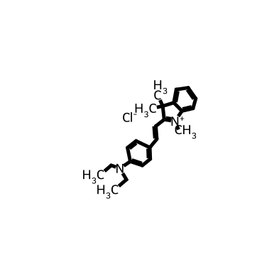 CCN(CC)c1ccc(C=CC2=[N+](C)c3ccccc3C2(C)C)cc1.[Cl-]